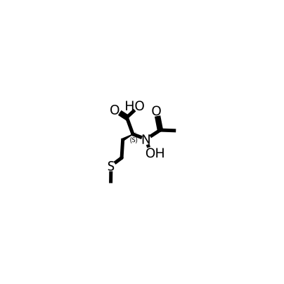 CSCC[C@@H](C(=O)O)N(O)C(C)=O